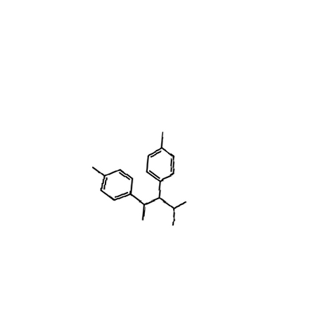 Cc1ccc(C(C)C(c2ccc(C)cc2)C(C)C)cc1